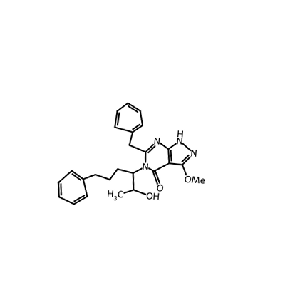 COc1n[nH]c2nc(Cc3ccccc3)n(C(CCCc3ccccc3)C(C)O)c(=O)c12